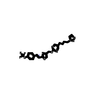 FC(F)(F)Oc1ccc(/C=C/c2nc(COc3ncc(CCCCn4ccnn4)cn3)co2)cc1